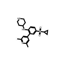 Cc1cc(-c2cc(S(=O)(=O)C3CC3)ccc2NC2CCNCC2)cc(C)n1